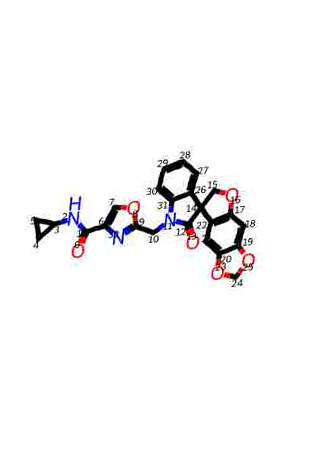 O=C(NC1CC1)c1coc(CN2C(=O)C3(COc4cc5c(cc43)OCO5)c3ccccc32)n1